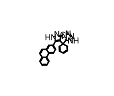 FC(F)(F)c1n[nH]c(-c2ccc3c(ccc4ccccc43)c2)c1C1(c2nnn[nH]2)C=CC=CC1